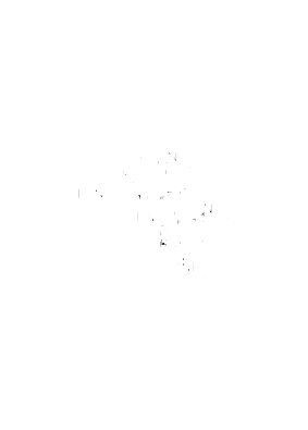 NC[C@@H]1CC[C@@H](N)[C@@H](O[C@H]2[C@H](O)[C@@H](O)[C@H](N)C[C@@H]2N)O1